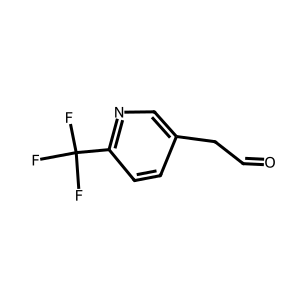 O=CCc1ccc(C(F)(F)F)nc1